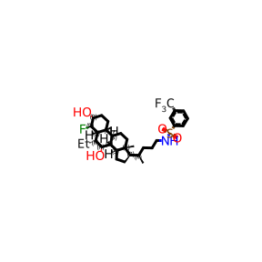 CC[C@H]1[C@@H](O)[C@@H]2[C@H](CC[C@]3(C)[C@@H]([C@H](C)CCCNS(=O)(=O)c4cccc(C(F)(F)F)c4)CC[C@@H]23)[C@@]2(C)CC[C@@H](O)[C@H](F)[C@@H]12